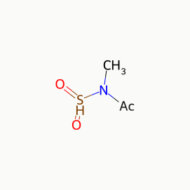 CC(=O)N(C)[SH](=O)=O